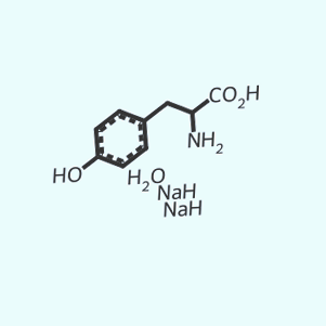 NC(Cc1ccc(O)cc1)C(=O)O.O.[NaH].[NaH]